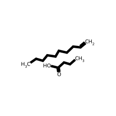 C=CCCCCCCCC.CCCC(=O)O